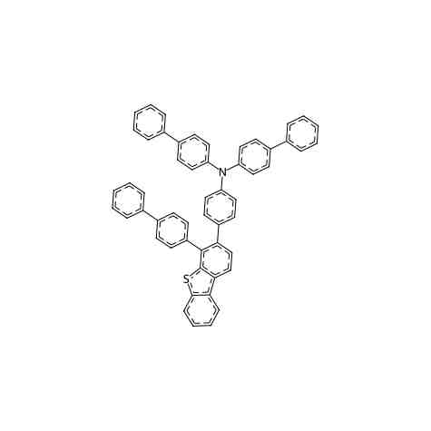 c1ccc(-c2ccc(-c3c(-c4ccc(N(c5ccc(-c6ccccc6)cc5)c5ccc(-c6ccccc6)cc5)cc4)ccc4c3sc3ccccc34)cc2)cc1